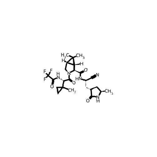 C[C@@H]1C[C@@H](C[C@@H](C#N)NC(=O)[C@@H]2[C@@H]3[C@H](CN2C(=O)[C@@H](NC(=O)C(F)(F)F)C2(C)CC2)C3(C)C)C(=O)N1